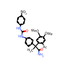 COc1cc(C(C)=O)c(C(C)(C(N)=O)c2ccc(NC(=O)Nc3ccc([N+](=O)[O-])cc3)cc2)cc1OC